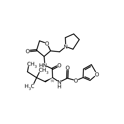 CCC(C)(C)C[C@H](NC(=O)Oc1ccoc1)C(=O)NC1C(=O)COC1CN1CCCC1